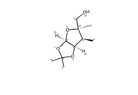 C[C@H]1[C@H]2OC(C)(C)O[C@H]2O[C@@]1(C)CO